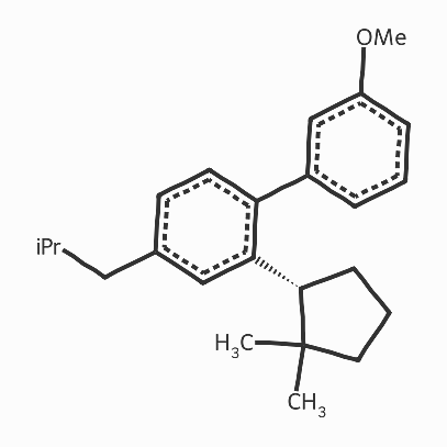 COc1cccc(-c2ccc(CC(C)C)cc2[C@@H]2CCCC2(C)C)c1